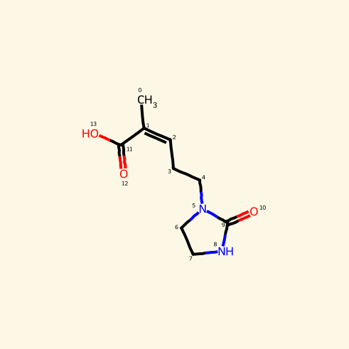 CC(=CCCN1CCNC1=O)C(=O)O